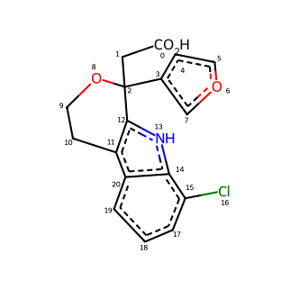 O=C(O)CC1(c2ccoc2)OCCc2c1[nH]c1c(Cl)cccc21